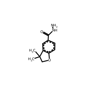 CC1(C)COc2ccc(C(=O)NN)cc21